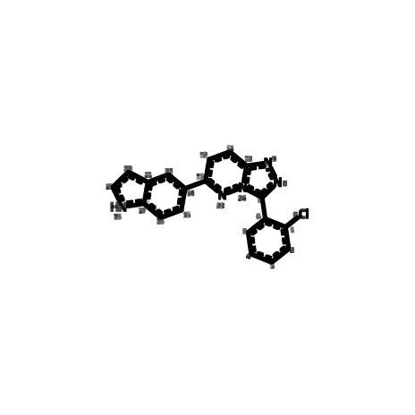 Clc1ccccc1-c1nnc2ccc(-c3ccc4[nH]ccc4c3)nn12